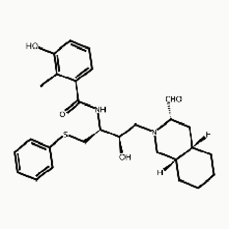 Cc1c(O)cccc1C(=O)N[C@H](CSc1ccccc1)[C@H](O)CN1C[C@H]2CCCC[C@H]2C[C@H]1C=O